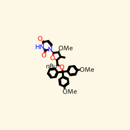 CCCC[C@@H](OC(c1ccccc1)(c1ccc(OC)cc1)c1ccc(OC)cc1)[C@H]1O[C@@H](n2ccc(=O)[nH]c2=O)[C@@H](OC)C1C